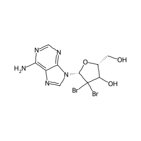 Nc1ncnc2c1ncn2[C@@H]1O[C@H](CO)C(O)C1(Br)Br